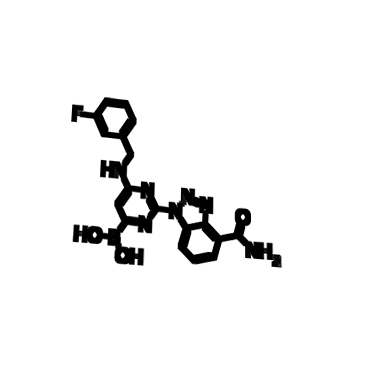 NC(=O)c1cccc2c1nnn2-c1nc(NCc2cccc(F)c2)cc(B(O)O)n1